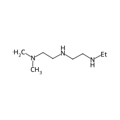 [CH2]CNCCNCCN([CH2])C